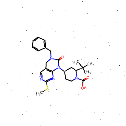 CSc1ncc2c(n1)N(C1CCN(C(=O)O)C(C(C)(C)C)C1)C(=O)N(Cc1ccccc1)C2